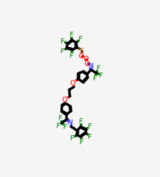 Fc1c(F)c(F)c(C/N=C(/c2ccc(OCCCOc3ccc(/C(=N\OOOSc4c(F)c(F)c(F)c(F)c4F)C(F)(F)F)cc3)cc2)C(F)(F)F)c(F)c1F